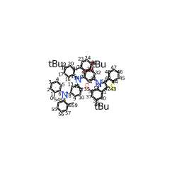 Cc1ccccc1N(c1ccc2c(c1)N(c1ccc(C(C)(C)C)cc1-c1ccccc1)c1cc(C(C)(C)C)cc3c1B2c1cc(C(C)(C)C)cc2c4sc5ccccc5c4n-3c12)c1ccccc1C